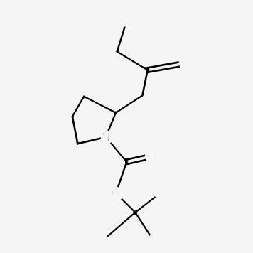 C=C(CCl)CC1CCCN1C(=O)OC(C)(C)C